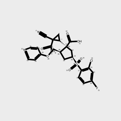 N#CC1(C(N)=O)CC1[C@]1(C(=O)O)C[C@@H](S(=O)(=O)c2ccc(F)cc2Cl)C[C@H]1COc1ccncc1